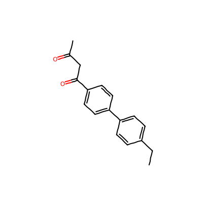 CCc1ccc(-c2ccc(C(=O)CC(C)=O)cc2)cc1